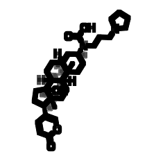 C[C@]12CC[C@H](N(CCCN3CCCC3)C(=O)O)C[C@H]1CC[C@@H]1[C@@H]2CC[C@]2(C)[C@@H](c3ccc(=O)oc3)CC[C@]12O